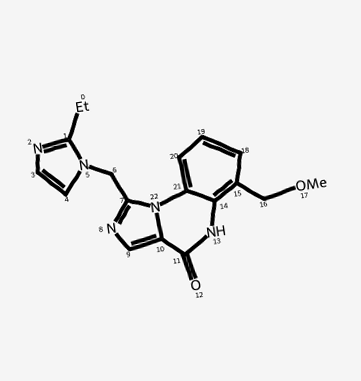 CCc1nccn1Cc1ncc2c(=O)[nH]c3c(COC)cccc3n12